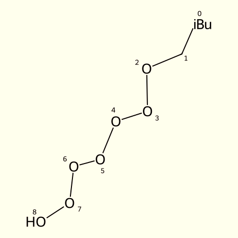 CCC(C)COOOOOOO